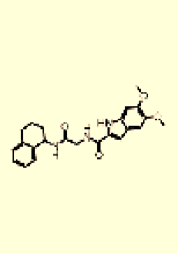 COc1cc2cc(C(=O)NCC(=O)NC3CCCc4ccccc43)[nH]c2cc1OC